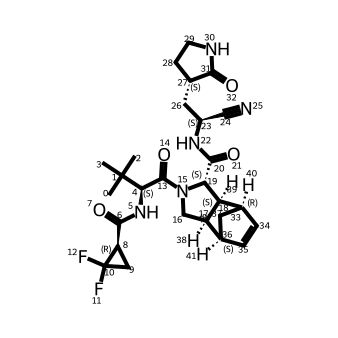 CC(C)(C)[C@H](NC(=O)[C@H]1CC1(F)F)C(=O)N1C[C@H]2[C@@H]([C@H]1C(=O)N[C@H](C#N)C[C@@H]1CCNC1=O)[C@H]1C=C[C@@H]2C1